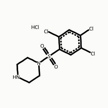 Cl.O=S(=O)(c1cc(Cl)c(Cl)cc1Cl)N1CCNCC1